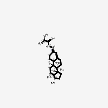 CC(=O)[C@H]1CC[C@H]2[C@@H]3CCC4=C/C(=N/NC(=O)[C@@H](N)C(C)C)CC[C@]4(C)[C@H]3CC[C@]12C